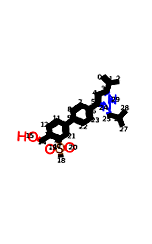 C=C(C)c1cc(-c2ccc(-c3ccc(CO)c(S(C)(=O)=O)c3)cc2)n(CC(C)C)n1